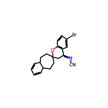 N#C/N=C1\CC2(CCC3C=CC=CC3CC2)Oc2ccc(Br)cc21